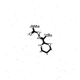 CNC(=O)ON=C(C1OCCCS1)C(C)(C)C